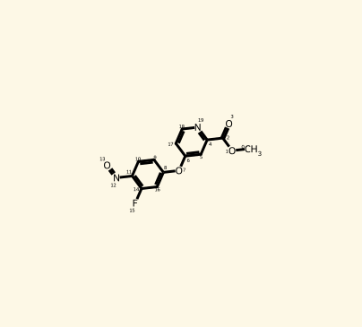 COC(=O)c1cc(Oc2ccc(N=O)c(F)c2)ccn1